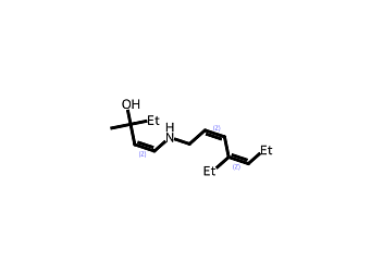 CC/C=C(\C=C/CN/C=C\C(C)(O)CC)CC